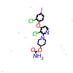 NC(=O)OC1CCN(c2nccc(Oc3ccc(I)cc3Cl)c2Cl)CC1